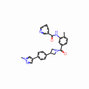 Cc1ccc(C(=O)N2CC(c3ccc(-c4cnn(C)c4)cc3)C2)cc1NC(=O)c1cccnc1